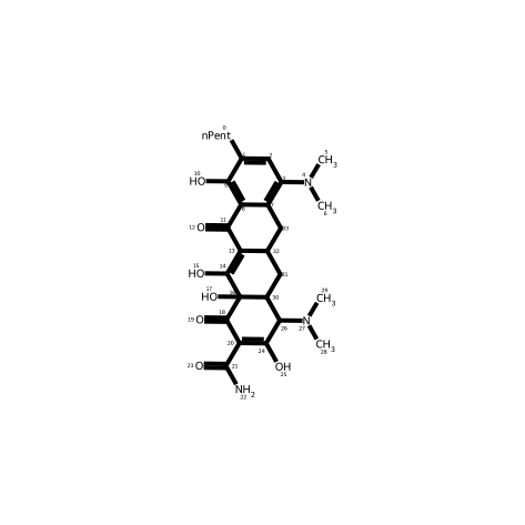 CCCCCc1cc(N(C)C)c2c(c1O)C(=O)C1=C(O)C3(O)C(=O)C(C(N)=O)=C(O)C(N(C)C)C3CC1C2